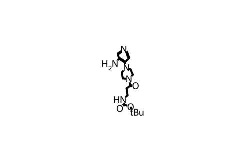 CC(C)(C)OC(=O)NCCC(=O)N1CCN(c2ccncc2N)CC1